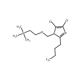 C[Si](C)(C)CCOCn1c(CCCC(F)(F)F)nc(Cl)c1Cl